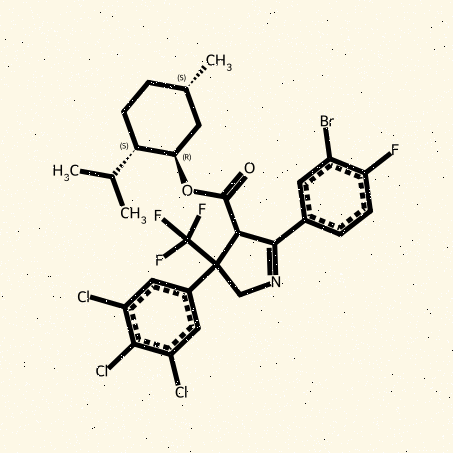 CC(C)[C@@H]1CC[C@H](C)C[C@H]1OC(=O)C1C(c2ccc(F)c(Br)c2)=NCC1(c1cc(Cl)c(Cl)c(Cl)c1)C(F)(F)F